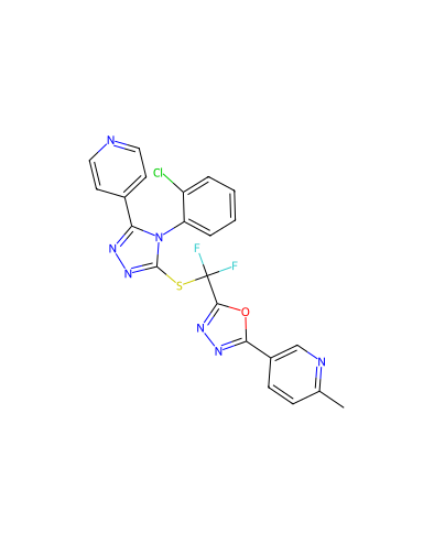 Cc1ccc(-c2nnc(C(F)(F)Sc3nnc(-c4ccncc4)n3-c3ccccc3Cl)o2)cn1